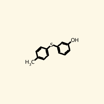 Cc1ccc(Sc2cccc(O)c2)cc1